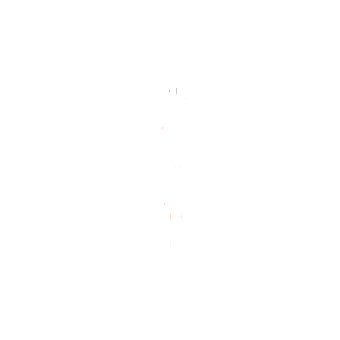 C=CCOCCOCCOPOCC